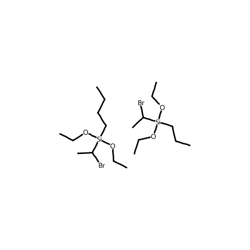 CCCC[Si](OCC)(OCC)C(C)Br.CCC[Si](OCC)(OCC)C(C)Br